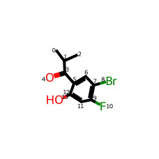 CC(C)C(=O)c1cc(Br)c(F)cc1O